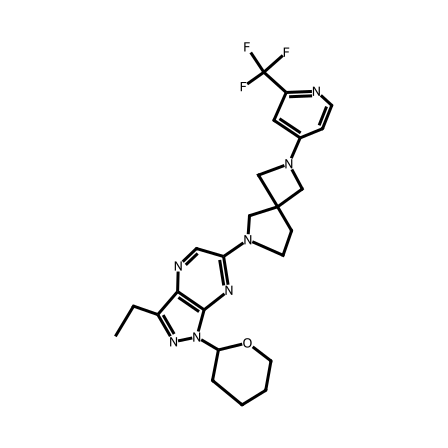 CCc1nn(C2CCCCO2)c2nc(N3CCC4(CN(c5ccnc(C(F)(F)F)c5)C4)C3)cnc12